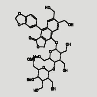 COCC1OC(OC2C(COC)OC(Oc3c4c(c(-c5ccc6c(c5)OCO6)c5cc(CO)c(CO)cc35)C(=O)OC4)C(CO)C2CO)C(CO)C(CO)C1OC